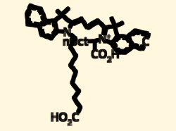 CCCCCCCCC(C(=O)O)[N+]1=C(/C=C/C=C2\N(CCCCCCCCCC(=O)O)c3ccc4ccccc4c3C2(C)C)C(C)(C)c2c1ccc1ccccc21